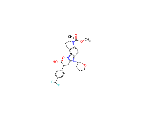 COC(=O)N1c2ccc3c(nc(CC(C(=O)O)c4ccc(C(F)F)cc4)n3C3CCCOC3)c2CC[C@@H]1C